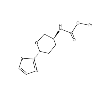 CC(C)OC(=O)N[C@H]1CC[C@H](c2nccs2)OC1